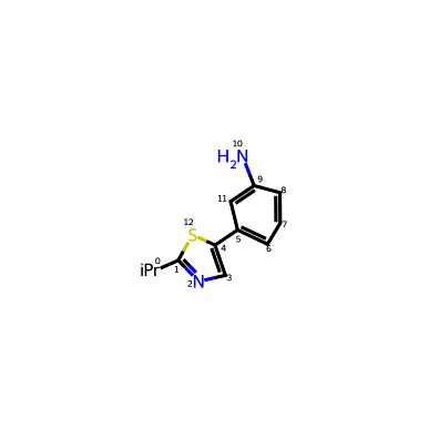 CC(C)c1ncc(-c2cccc(N)c2)s1